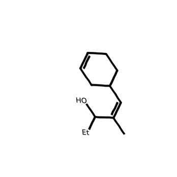 CCC(O)C(C)=CC1CC=CCC1